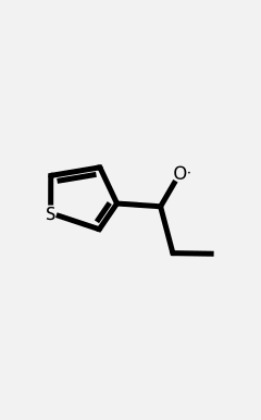 CCC([O])c1ccsc1